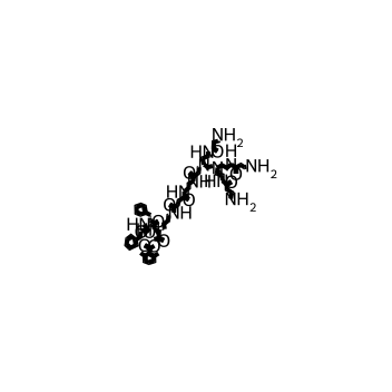 Cc1cccc(C)c1C(=O)OCC(=O)[C@@H](CCCCNC(=O)CCC(=O)NCCNC(=O)CCN(CCNC(=O)CCN)CCN(CCNC(=O)CCN)CCNC(=O)CCN)NC(=O)[C@@H](Cc1ccccc1)NC(=O)OCc1ccccc1